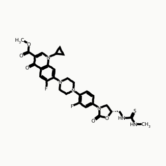 CNC(=S)NC[C@H]1CN(c2ccc(N3CCN(c4cc5c(cc4F)c(=O)c(C(=O)OC)cn5C4CC4)CC3)c(F)c2)C(=O)O1